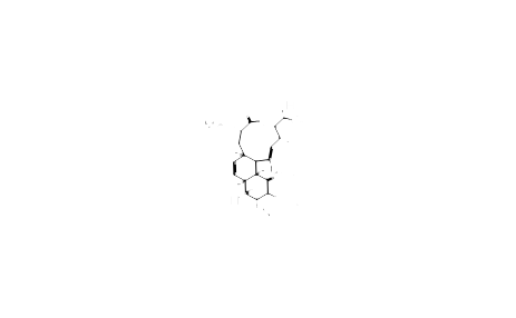 CO[C@H]1C[C@H]2C=C[C@H]3[C@H]4O[C@]2(/C(C)=C/[C@@H](C)[C@@H]([C@@H](C)O)OC1=O)[C@@H]3C(=O)C(C)[C@H]4C#N